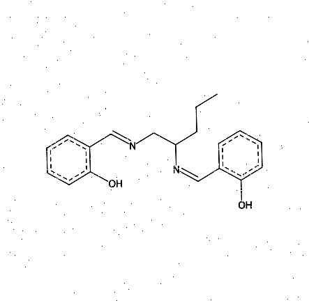 CCCC(C/N=C/c1ccccc1O)/N=C\c1ccccc1O